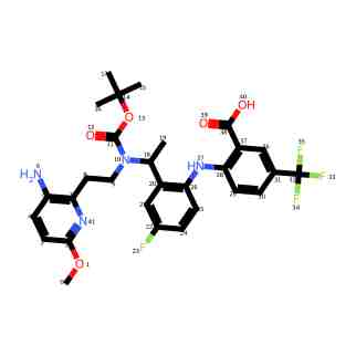 COc1ccc(N)c(CCN(C(=O)OC(C)(C)C)C(C)c2cc(F)ccc2Nc2ccc(C(F)(F)F)cc2C(=O)O)n1